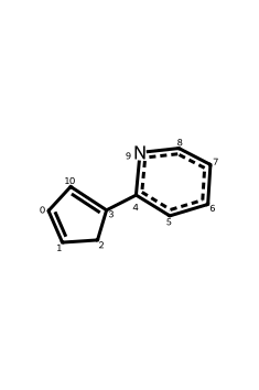 C1=CCC(c2ccccn2)=C1